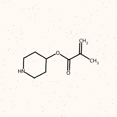 C=C(C)C(=O)OC1CCNCC1